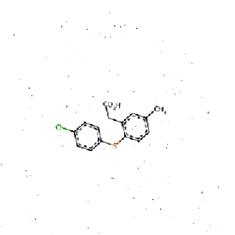 Cc1ccc(Sc2ccc(Cl)cc2)c(CC(=O)O)c1